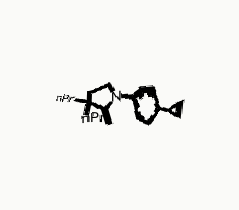 C=C1N(c2ccc(C3CC3)cc2)CCC1(CCC)CCC